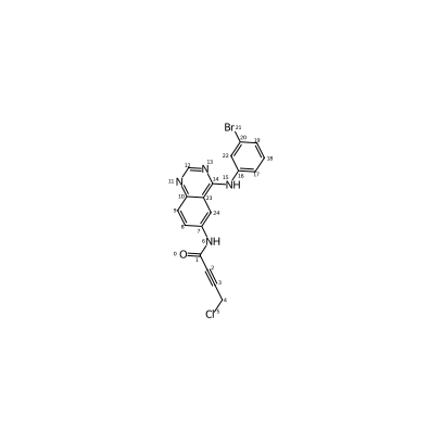 O=C(C#CCCl)Nc1ccc2ncnc(Nc3cccc(Br)c3)c2c1